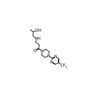 CC(O)CNCCC(=O)N1CCN(c2ncc(C(F)(F)F)cn2)CC1